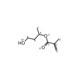 C=C(C)C(=O)OC(C)CCO